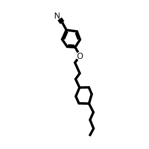 CCCCC1CCC(CCCOc2ccc(C#N)cc2)CC1